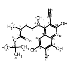 CN(CCN(C)c1c(C#N)c(O)nc2c(O)c(Br)c(Cl)cc12)C(=O)OC(C)(C)C